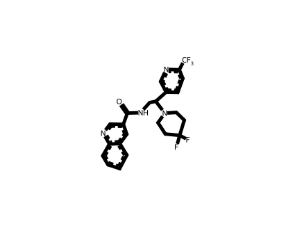 O=C(NCC(c1ccc(C(F)(F)F)nc1)N1CCC(F)(F)CC1)c1cnc2ccccc2c1